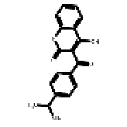 CC(C)c1ccc(C(=O)c2c(O)c3ccccc3[nH]c2=O)cc1